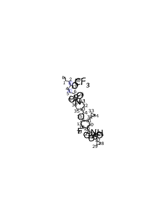 C=C/C=C(\C=C/CS(=O)(=O)N1CCC(COc2cc(F)c(C(=O)NS(=O)(=O)C3CC3)cc2C2CC2)CC1)OC(F)(F)F